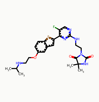 CC(C)NCCOc1ccc2sc(-c3nc(NCCN4C(=O)NC(C)(C)C4=O)ncc3F)cc2c1